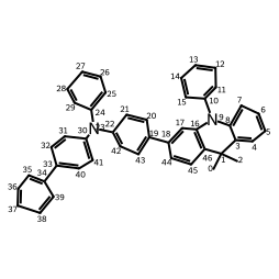 CC1(C)c2ccccc2N(c2ccccc2)c2cc(-c3ccc(N(c4ccccc4)c4ccc(-c5ccccc5)cc4)cc3)ccc21